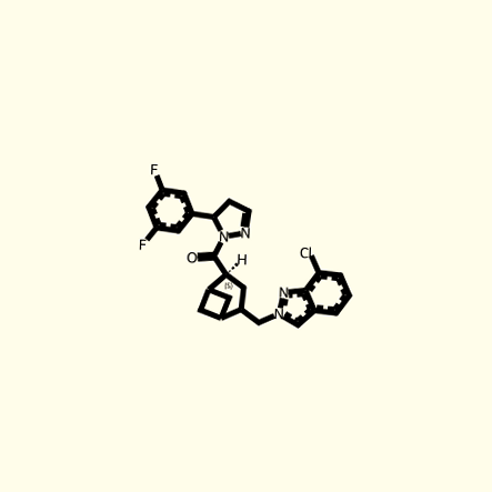 O=C([C@H]1CC(Cn2cc3cccc(Cl)c3n2)C2CC1C2)N1N=CCC1c1cc(F)cc(F)c1